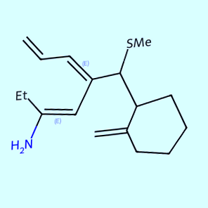 C=C/C=C(\C=C(\N)CC)C(SC)C1CCCCC1=C